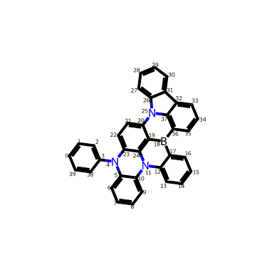 c1ccc(N2c3ccccc3N3c4ccccc4B4c5c(ccc2c53)-n2c3ccccc3c3cccc4c32)cc1